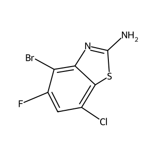 Nc1nc2c(Br)c(F)cc(Cl)c2s1